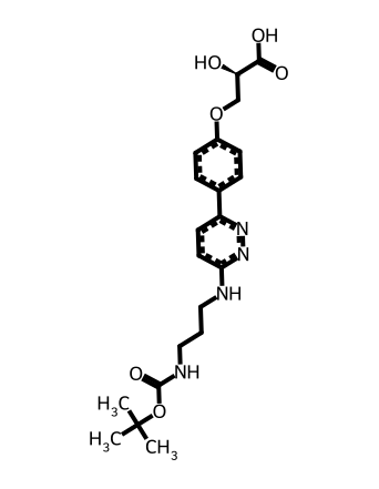 CC(C)(C)OC(=O)NCCCNc1ccc(-c2ccc(OC[C@@H](O)C(=O)O)cc2)nn1